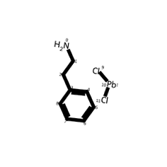 NCCc1ccccc1.[Cl][Pb][Cl]